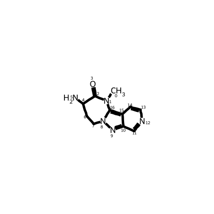 CN1C(=O)C(N)CCn2nc3cnccc3c21